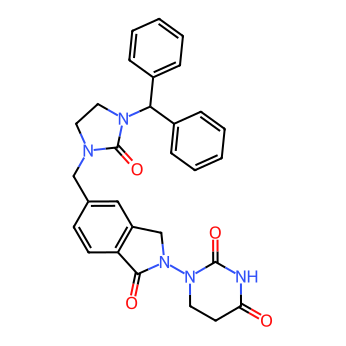 O=C1CCN(N2Cc3cc(CN4CCN(C(c5ccccc5)c5ccccc5)C4=O)ccc3C2=O)C(=O)N1